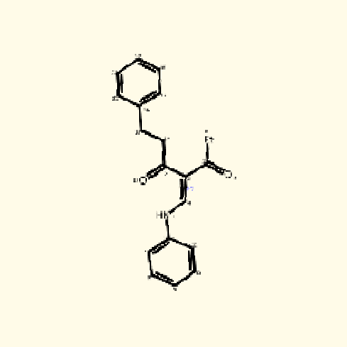 CCC(=O)/C(=C/Nc1ccccc1)C(=O)CCc1ccccc1